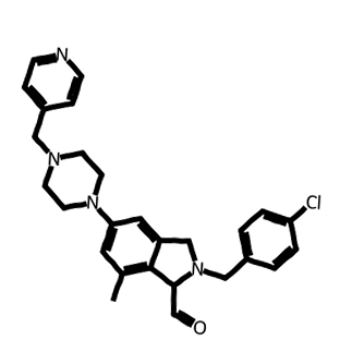 Cc1cc(N2CCN(Cc3ccncc3)CC2)cc2c1C(C=O)N(Cc1ccc(Cl)cc1)C2